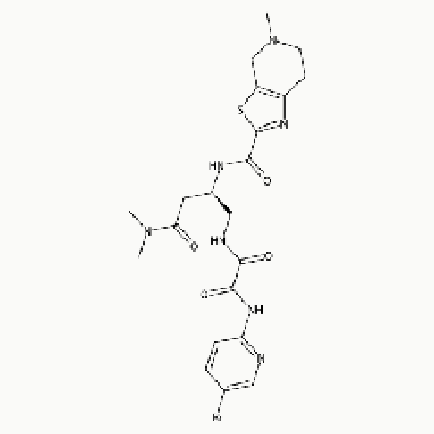 CN1CCc2nc(C(=O)N[C@@H](CNC(=O)C(=O)Nc3ccc(Br)cn3)CC(=O)N(C)C)sc2C1